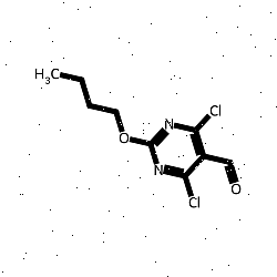 CCCCOc1nc(Cl)c(C=O)c(Cl)n1